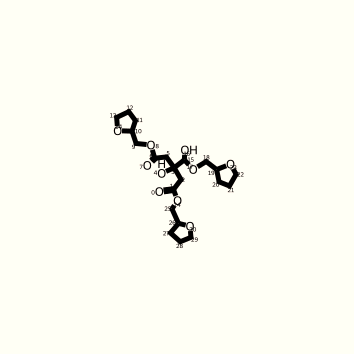 O=C(CC(O)(CC(=O)OCC1CCCO1)C(O)OCC1CCCO1)OCC1CCCO1